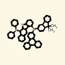 CC1(C)c2ccccc2C2C=C(N(c3ccc4c5ccccc5c5ccccc5c4c3)c3cccc4sc5c(N(c6ccccc6)c6ccccc6)c6ccccc6cc5c34)C=CC21